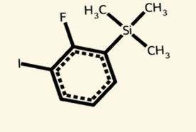 C[Si](C)(C)c1cccc(I)c1F